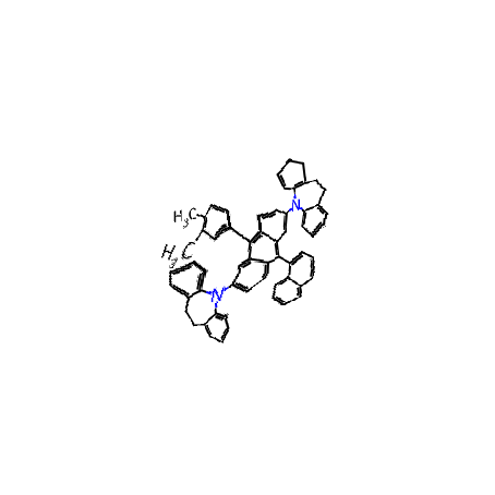 Cc1ccc(-c2c3cc(N4c5ccccc5CCc5ccccc54)ccc3c(-c3cccc4ccccc34)c3cc(N4C5=C(CCC=C5)CCc5ccccc54)ccc23)cc1C